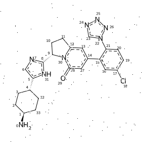 N[C@H]1CC[C@H](c2cnc([C@@H]3CCc4cc(-c5cc(Cl)ccc5-n5cnnn5)cc(=O)n43)[nH]2)CC1